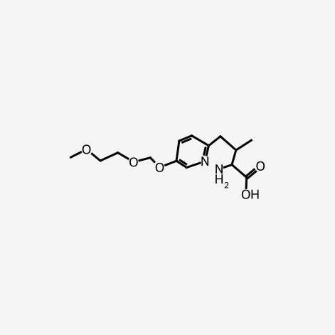 COCCOCOc1ccc(CC(C)C(N)C(=O)O)nc1